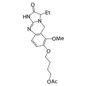 CCC1C(=O)NC2=Nc3ccc(OCCCCOC(C)=O)c(OC)c3CN21